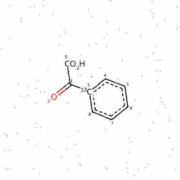 O=C(O)C(=O)[13c]1ccccc1